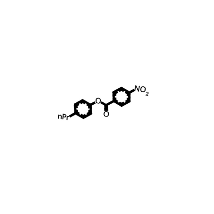 CCCc1ccc(OC(=O)c2ccc([N+](=O)[O-])cc2)cc1